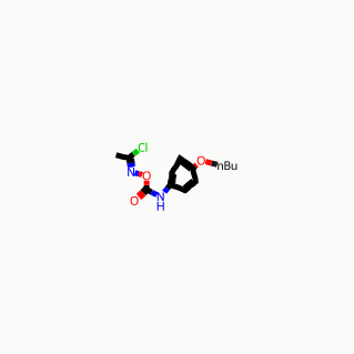 CCCCOc1ccc(NC(=O)ON=C(C)Cl)cc1